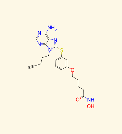 C#CCCCn1c(Sc2cccc(OCCCCC(=O)NO)c2)nc2c(N)ncnc21